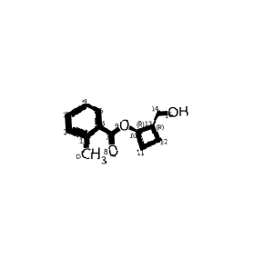 Cc1ccccc1C(=O)O[C@@H]1CC[C@@H]1CO